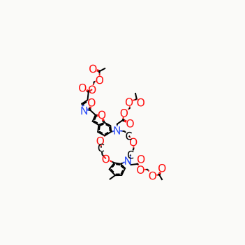 CC(=O)OCOC(=O)CN1CCOCCN(CC(=O)OCOC(C)=O)c2cc3oc(-c4ncc(C(=O)OCOC(C)=O)o4)cc3cc2OCCOc2cc(C)ccc21